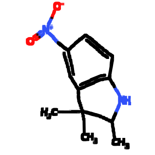 CC1Nc2ccc([N+](=O)[O-])cc2C1(C)C